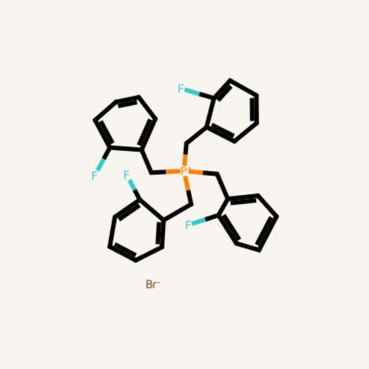 Fc1ccccc1C[P+](Cc1ccccc1F)(Cc1ccccc1F)Cc1ccccc1F.[Br-]